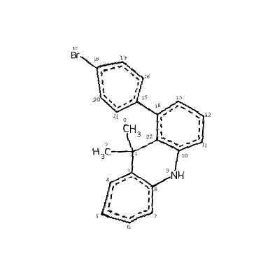 CC1(C)c2ccccc2Nc2cccc(-c3ccc(Br)cc3)c21